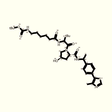 Cc1ncsc1-c1ccc(C(C)NC(=O)[C@@H]2C[C@@H](O)CN2C(=O)C(NC(=O)CCCCCNC(=O)OC(C)(C)C)C(C)(C)C)cc1